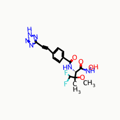 COC(C)(C(F)F)[C@H](NC(=O)c1ccc(C#Cc2nn[nH]n2)cc1)C(=O)NO